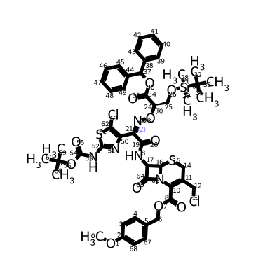 COc1ccc(COC(=O)C2=C(CCl)CSC3C(NC(=O)/C(=N\O[C@H](CO[Si](C)(C)C(C)(C)C)C(=O)OC(c4ccccc4)c4ccccc4)c4nc(NC(=O)OC(C)(C)C)sc4Cl)C(=O)N23)cc1